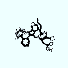 CCCCc1nc(Cl)c(CC(=O)O)n1Cc1c2ccocc-2c(Br)c1-c1ccccc1-c1nnn[nH]1